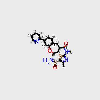 Cc1nc(N(C)C(=O)C2CCOc3cc(-c4ccccn4)ccc3C2)sc1[S+](N)[O-]